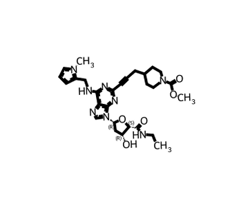 CCNC(=O)[C@H]1O[C@@H](n2cnc3c(NCc4cccn4C)nc(C#CCC4CCN(C(=O)OC)CC4)nc32)C[C@H]1O